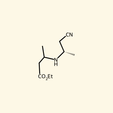 CCOC(=O)CC(C)N[C@@H](C)CC#N